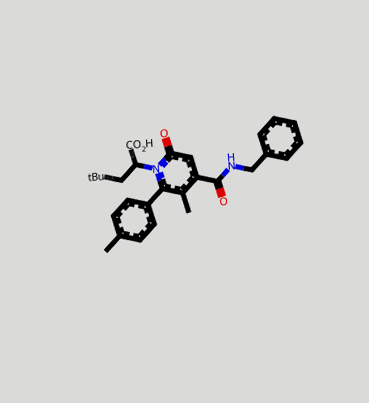 Cc1ccc(-c2c(C)c(C(=O)NCc3ccccc3)cc(=O)n2C(CC(C)(C)C)C(=O)O)cc1